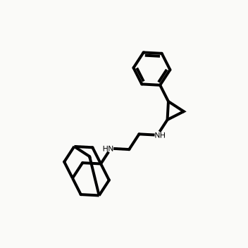 c1ccc(C2CC2NCCNC23CC4CC(CC(C4)C2)C3)cc1